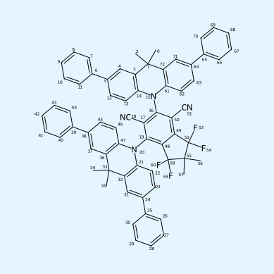 CC1(C)c2cc(-c3ccccc3)ccc2N(c2c(C#N)c(N3c4ccc(-c5ccccc5)cc4C(C)(C)c4cc(-c5ccccc5)ccc43)c3c(c2C#N)C(F)(F)C(C)(C)C3(F)F)c2ccc(-c3ccccc3)cc21